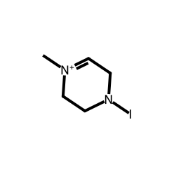 C[N+]1=CCN(I)CC1